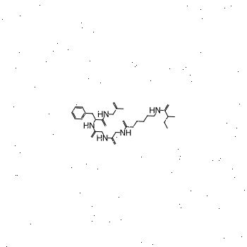 C=C(C)CNC(=C)C(Cc1ccccc1)NC(=C)CNC(=C)CNC(=C)CCCCCNC(=C)C(C)CC